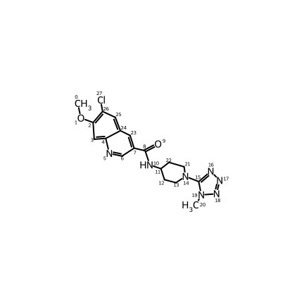 COc1cc2ncc(C(=O)NC3CCN(c4nnnn4C)CC3)cc2cc1Cl